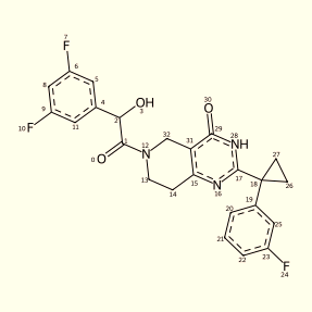 O=C(C(O)c1cc(F)cc(F)c1)N1CCc2nc(C3(c4cccc(F)c4)CC3)[nH]c(=O)c2C1